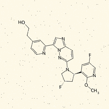 COc1ncc(F)cc1[C@H]1C[C@H](F)CN1c1ccc2ncc(-c3cc(CCO)ccn3)n2n1